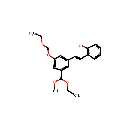 CCOCOc1cc(C=Cc2[c]cccc2Br)cc(C(OC)OCC)c1